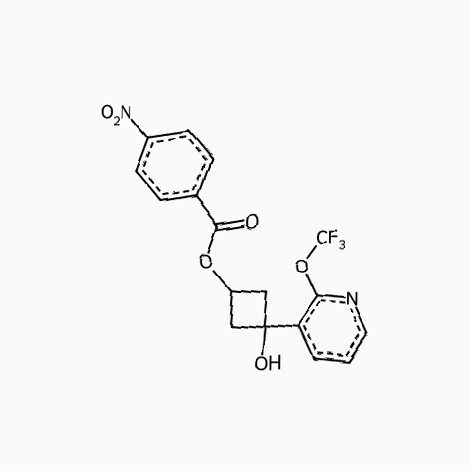 O=C(OC1CC(O)(c2cccnc2OC(F)(F)F)C1)c1ccc([N+](=O)[O-])cc1